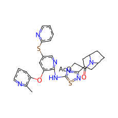 CC(=O)OCC(=O)N1C2CCC1CC(c1nsc(Nc3ncc(Sc4ccccn4)cc3Oc3cccnc3C)n1)C2